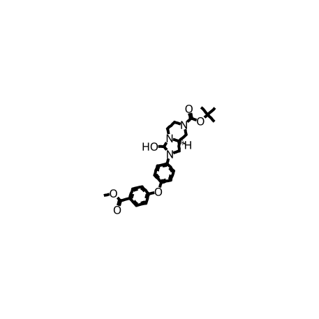 COC(=O)c1ccc(Oc2ccc(N3C[C@@H]4CN(C(=O)OC(C)(C)C)CCN4C3O)cc2)cc1